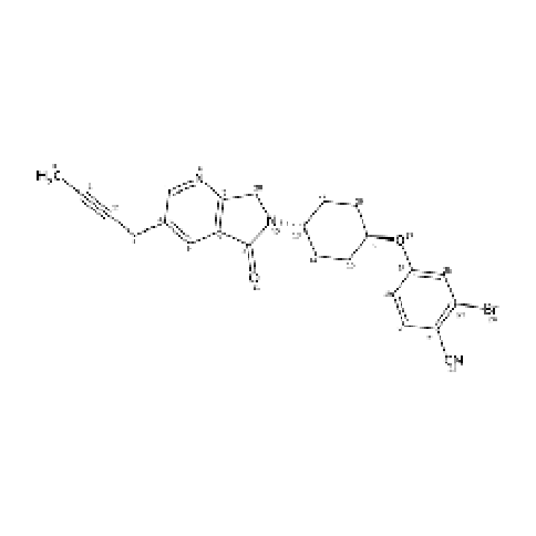 CC#CCc1cnc2c(c1)C(=O)N([C@H]1CC[C@H](Oc3ccc(C#N)c(Br)c3)CC1)C2